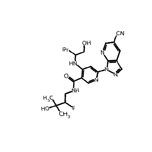 CC(C)C(CO)Nc1cc(-n2ncc3cc(C#N)cnc32)ncc1C(=O)NCC(F)C(C)(C)O